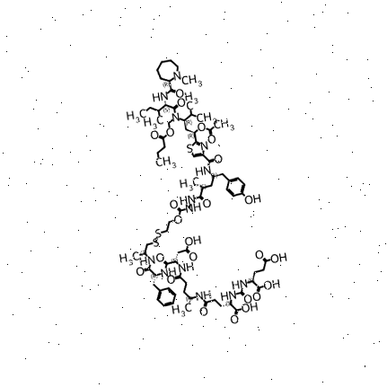 CCCC(=O)OCN(C(=O)[C@@H](NC(=O)[C@H]1CCCCCN1C)C(C)CC)[C@H](C[C@@H](OC(C)=O)c1nc(C(=O)N[C@@H](Cc2ccc(O)cc2)C[C@H](C)C(=O)NNC(=O)OCCSSC[C@H](C)NC(=O)[C@@H](Cc2ccccc2)NC(=O)[C@H](CC(=O)O)NC(=O)CC[C@@H](C)NC(=O)CC[C@H](NC(=O)N[C@@H](CCC(=O)O)C(=O)O)C(=O)O)cs1)C(C)C